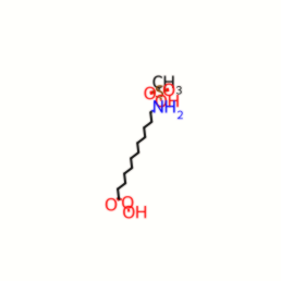 CS(=O)(=O)O.NCCCCCCCCCCCC(=O)OO